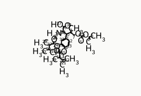 CC(C)OC(=O)OCC(C)C(c1ccc(OC(=O)C(C)C(C)C)c(OC(=O)C(C)C(C)C)c1)[C@H](N)C(=O)O